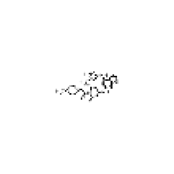 CCC1CC(Nc2nc(Nc3cc(C)[nH]n3)c3ccsc3n2)CC(CC)N1C(=O)CN1CCN(C)CC1